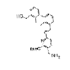 COc1nc(OCc2cccc(-c3cccc(CO)c3C)c2C)ccc1CN